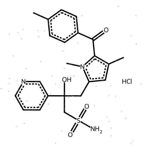 Cc1ccc(C(=O)c2c(C)cc(CC(O)(CS(N)(=O)=O)c3cccnc3)n2C)cc1.Cl